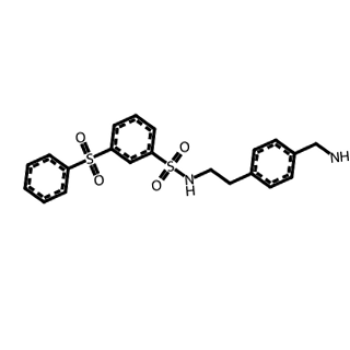 NCc1ccc(CCNS(=O)(=O)c2cccc(S(=O)(=O)c3ccccc3)c2)cc1